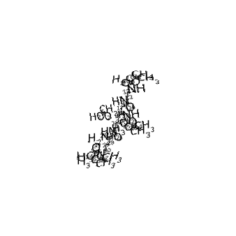 CC(=O)O.CC(C)(C)OC(=O)NCCNC(=O)C[C@H](CCCCNC(=O)[C@@H](N)CCCN(C(=O)O)C(C)(C)C)NC(=O)OC(C)(C)C